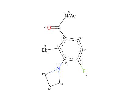 CCc1c(C(=O)NC)ccc(F)c1N1CCC1